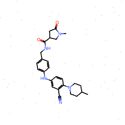 CC1CCN(c2ccc(Nc3ccc(CNC(=O)C4CC(=O)N(C)C4)cc3)cc2C#N)CC1